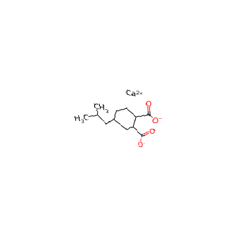 CC(C)CC1CCC(C(=O)[O-])C(C(=O)[O-])C1.[Ca+2]